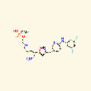 COP(=O)(O)OCN/C=C\C=C(/CN)c1cc(Cc2ccc(Nc3cc(F)cc(F)c3)nc2)no1